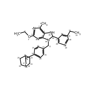 CCOc1nc(C)c2c(n1)N(Cc1ccc(C3CN4CCC3CC4)cc1)C(c1cncc(CC)c1)N2